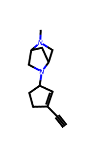 C#CC1=CC(N2CC3CC2CN3C)CC1